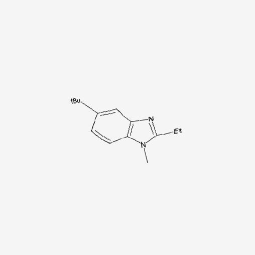 CCc1nc2cc(C(C)(C)C)ccc2n1C